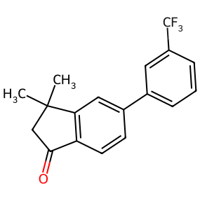 CC1(C)CC(=O)c2ccc(-c3cccc(C(F)(F)F)c3)cc21